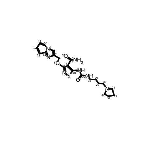 NC(=O)c1c(OCc2cn3ccccc3n2)nsc1NC(=O)NCCCCN1CCCC1